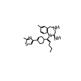 CCC/C=C(\C1CC=C(c2csc(C)n2)CC1)N1C(=N)CNCc2cc(C)ccc21